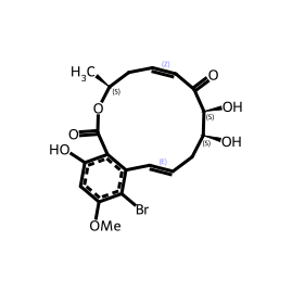 COc1cc(O)c2c(c1Br)/C=C/C[C@H](O)[C@H](O)C(=O)/C=C\C[C@H](C)OC2=O